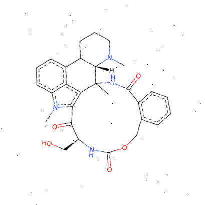 CN1CCCC2c3cccc4c3c3c(n4C)C(=O)[C@H](CO)NC(=O)OCc4ccccc4C(=O)NC3(C)[C@H]21